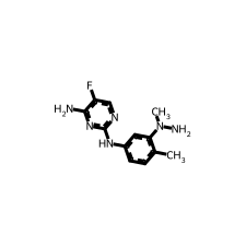 Cc1ccc(Nc2ncc(F)c(N)n2)cc1N(C)N